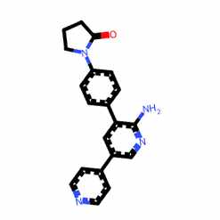 Nc1ncc(-c2ccncc2)cc1-c1ccc(N2CCCC2=O)cc1